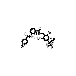 COc1c(NC(=O)c2cc[n+]([O-])cc2)cccc1C(=O)NCc1c(Br)cc(C(F)(C(F)(F)F)C(F)(F)F)cc1Br